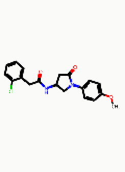 COc1ccc(N2CC(NC(=O)Cc3ccccc3Cl)CC2=O)cc1